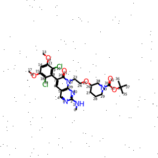 CNc1ncc2cc(-c3c(Cl)c(OC)cc(OC)c3Cl)c(=O)n(CCOC3CCCN(C(=O)OC(C)(C)C)C3)c2n1